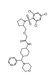 O=C(COCC1CCCN1S(=O)(=O)c1c(Cl)cc(Cl)cc1Cl)NC1CCC(C(c2ccccc2)N2CCOCC2)CC1